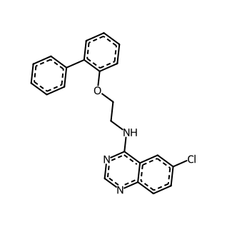 Clc1ccc2ncnc(NCCOc3ccccc3-c3ccccc3)c2c1